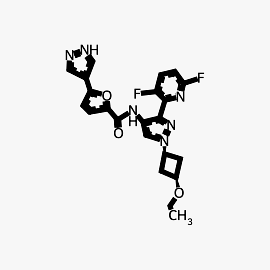 CCO[C@H]1C[C@@H](n2cc(NC(=O)c3ccc(-c4cn[nH]c4)o3)c(-c3nc(F)ccc3F)n2)C1